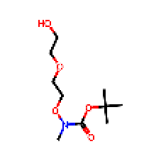 CN(OCCOCCO)C(=O)OC(C)(C)C